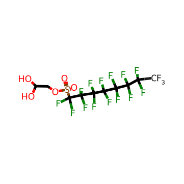 O=S(=O)(OCC(O)O)C(F)(F)C(F)(F)C(F)(F)C(F)(F)C(F)(F)C(F)(F)C(F)(F)C(F)(F)F